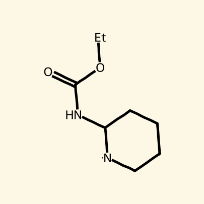 CCOC(=O)NC1CCCC[N]1